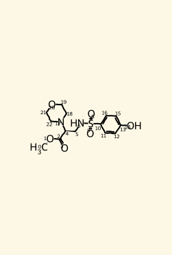 COC(=O)[C@H](CNS(=O)(=O)c1ccc(O)cc1)N1CCOCC1